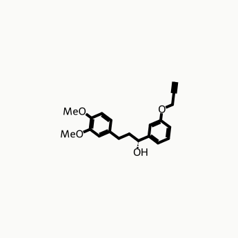 C#CCOc1cccc([C@H](O)CCc2ccc(OC)c(OC)c2)c1